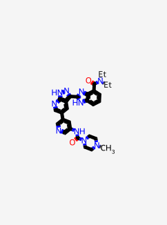 CCN(CC)C(=O)c1cccc2[nH]c(-c3n[nH]c4ncc(-c5cncc(NC(=O)N6CCN(C)CC6)c5)cc34)nc12